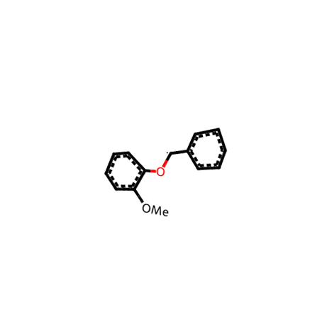 COc1ccccc1O[CH]c1ccccc1